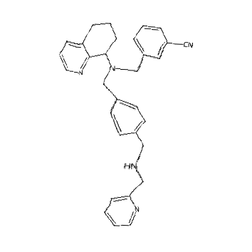 N#Cc1cccc(CN(Cc2ccc(CNCc3ccccn3)cc2)C2CCCc3cccnc32)c1